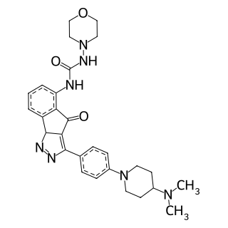 CN(C)C1CCN(c2ccc(C3=C4C(=O)c5c(NC(=O)NN6CCOCC6)cccc5C4N=N3)cc2)CC1